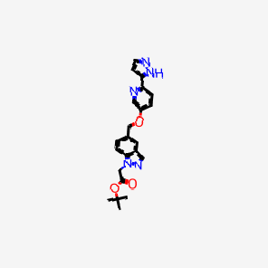 CC(C)(C)OC(=O)Cn1ncc2cc(COc3ccc(-c4ccn[nH]4)nc3)ccc21